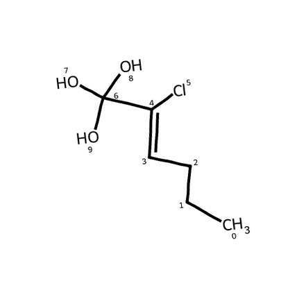 CCCC=C(Cl)C(O)(O)O